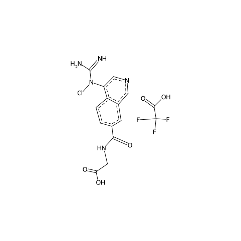 N=C(N)N(Cl)c1cncc2cc(C(=O)NCC(=O)O)ccc12.O=C(O)C(F)(F)F